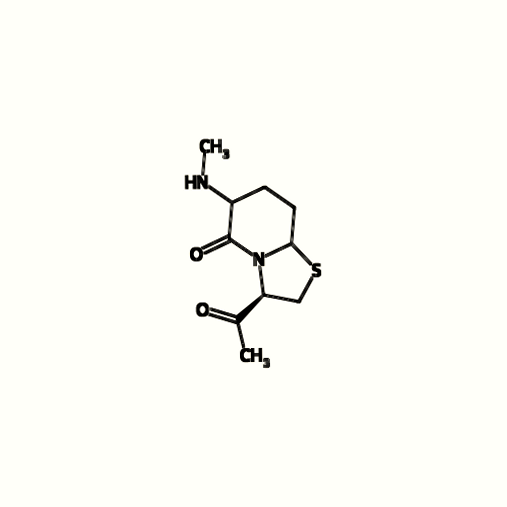 CNC1CCC2SC[C@@H](C(C)=O)N2C1=O